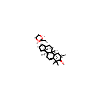 C[C@@H]1C[C@@]2(C)C(=CC[C@H]3[C@@H]4CC[C@H](C5(C)OCCO5)[C@@]4(C)CC[C@@H]32)C(C)(C)C1=O